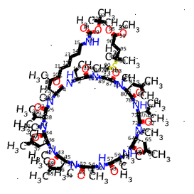 CC[C@@H]1NC(=O)[C@H](C[C@H](C)CCCCCCNC(=O)OC(C)(C)C)N(C)C(=O)[C@H](C(C)C)N(C)C(=O)[C@H](CC(C)C)N(C)C(=O)[C@H](CC(C)C)N(C)C(=O)[C@H](C)NC(=O)[C@@H](C)NC(=O)[C@@H](CC(C)C)N(C)C(=O)[C@@H](C(C)C)NC(=O)[C@H](CC(C)C)N(C)C(=O)[C@@H](CSC(C)(C)CCC(=O)OC)N(C)C1=O